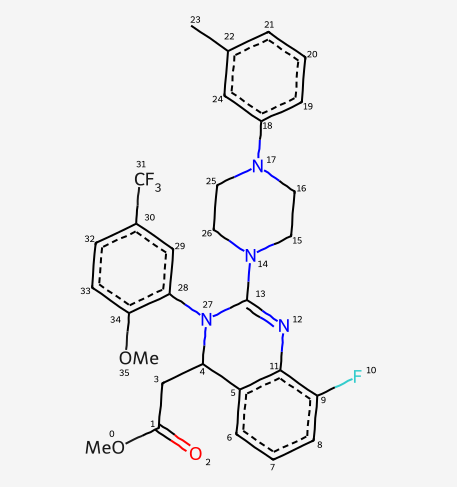 COC(=O)CC1c2cccc(F)c2N=C(N2CCN(c3cccc(C)c3)CC2)N1c1cc(C(F)(F)F)ccc1OC